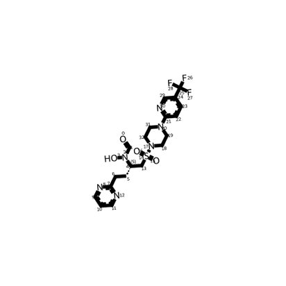 O=CN(O)[C@@H](CCc1ncccn1)CS(=O)(=O)N1CCN(c2ccc(C(F)(F)F)cn2)CC1